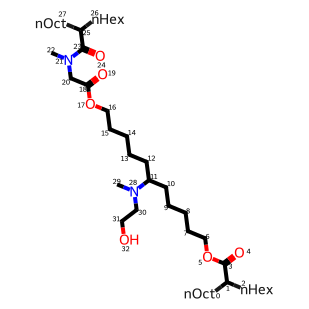 CCCCCCCCC(CCCCCC)C(=O)OCCCCCC(CCCCCOC(=O)CN(C)C(=O)C(CCCCCC)CCCCCCCC)N(C)CCO